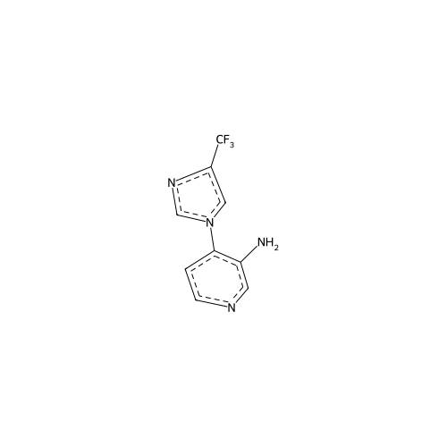 Nc1cnccc1-n1cnc(C(F)(F)F)c1